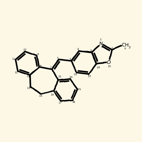 Cc1nc2cc(C=C3c4ccccc4CCc4ccccc43)ccc2o1